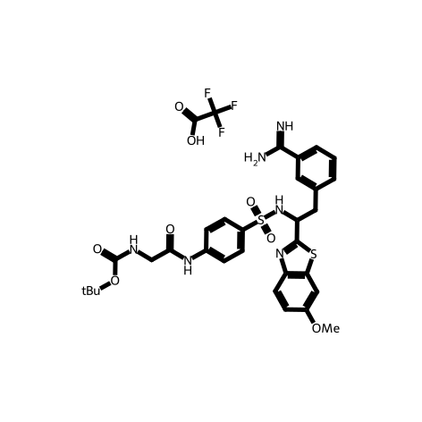 COc1ccc2nc(C(Cc3cccc(C(=N)N)c3)NS(=O)(=O)c3ccc(NC(=O)CNC(=O)OC(C)(C)C)cc3)sc2c1.O=C(O)C(F)(F)F